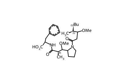 CC[C@H](C)[C@H](C)C(CC(=O)N1CCCC1C(OC)[C@@H](C)C(=O)NC(Cc1ccccc1)C(=O)O)OC